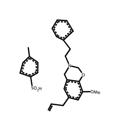 C=CCc1cc2c(c(OC)c1)OCN(CCc1ccccc1)C2.Cc1ccc(S(=O)(=O)O)cc1